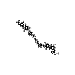 CC(=O)Cc1cc(I)c(Oc2cc(I)c(OCc3cn(CCOCCOCCn4cc(COc5c(I)cc(Oc6c(I)cc(CC(=O)O)cc6I)cc5I)nn4)nn3)c(I)c2)c(I)c1